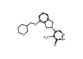 Cc1c(N2Cc3cccc(OCC4CCCOC4)c3C2)cn[nH]c1=O